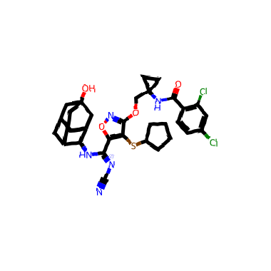 N#C/N=C(\NC1C2CC3CC1CC(O)(C3)C2)c1onc(OCC2(NC(=O)c3ccc(Cl)cc3Cl)CC2)c1SC1CCCC1